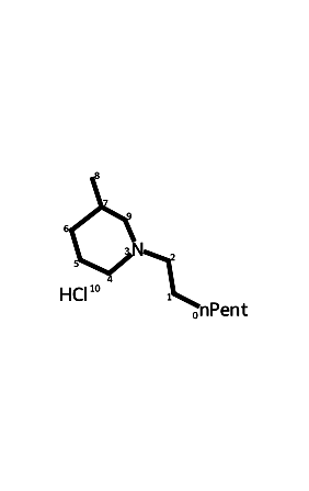 CCCCCCCN1CCCC(C)C1.Cl